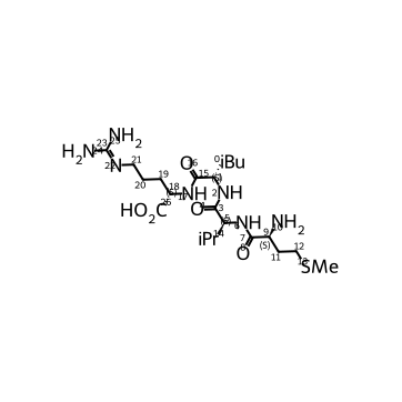 CCC(C)[C@H](NC(=O)[C@@H](NC(=O)[C@@H](N)CCSC)C(C)C)C(=O)N[C@@H](CCCN=C(N)N)C(=O)O